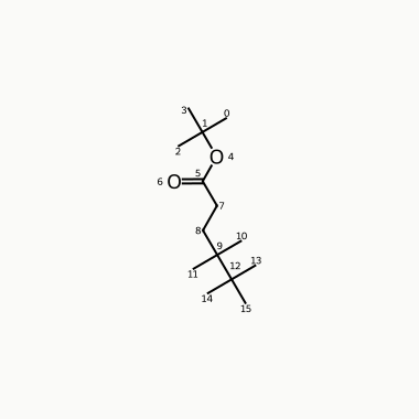 CC(C)(C)OC(=O)CCC(C)(C)C(C)(C)C